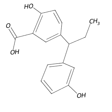 CCC(c1cccc(O)c1)c1ccc(O)c(C(=O)O)c1